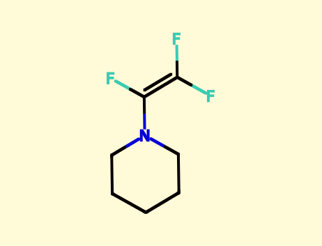 FC(F)=C(F)N1CCCCC1